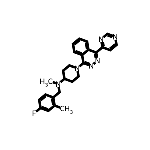 Cc1cc(F)ccc1CN(C)C1CCN(c2nnc(-c3ccncn3)c3ccccc23)CC1